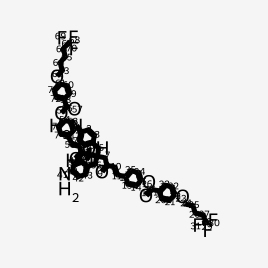 Nc1ccc(CC(CC(=O)C=Cc2ccc(OC(=O)c3ccc(OCCCCC(F)(F)F)cc3)cc2)(Cc2ccc(N)cc2)C(O)(O)C(=O)C=Cc2ccc(OC(=O)c3ccc(OCCCCC(F)(F)F)cc3)cc2)cc1